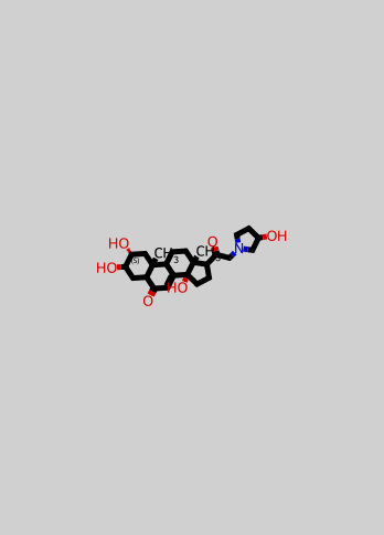 CC12C[C@H](O)C(O)CC1C(=O)C=C1C2CCC2(C)C(C(=O)CN3CCC(O)C3)CCC12O